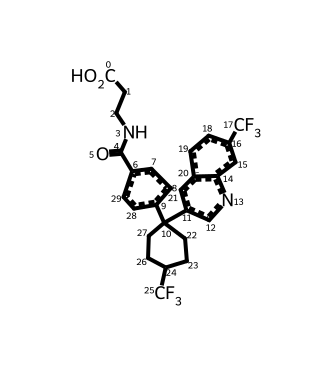 O=C(O)CCNC(=O)c1ccc(C2(c3cnc4cc(C(F)(F)F)ccc4c3)CCC(C(F)(F)F)CC2)cc1